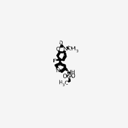 CCS(=O)(=O)Nc1cncc(C2(F)C=CC3C(=C2)OC(=O)N3C)c1